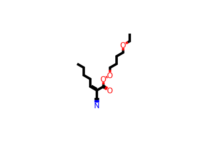 CCCCC=C(C#N)C(=O)OOCCCCOCC